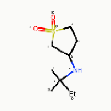 CCC(C)(C)NC1CCS(=O)(=O)C1